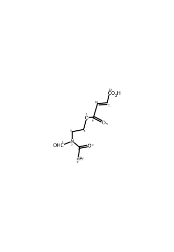 CCCC(=O)N(C=O)CCOC(=O)/C=C/C(=O)O